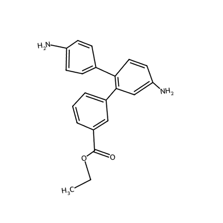 CCOC(=O)c1cccc(-c2cc(N)ccc2-c2ccc(N)cc2)c1